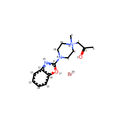 CC(=O)C[N+]1(C)CCN(c2nc3ccccc3o2)CC1.[Br-]